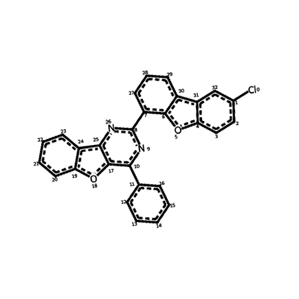 Clc1ccc2oc3c(-c4nc(-c5ccccc5)c5oc6ccccc6c5n4)cccc3c2c1